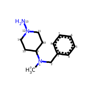 CN(Cc1ccccc1)C1CCN(N)CC1